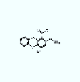 CCc1ccc2c(c1C(=O)[O-])Cc1ccccc1S2.[K+]